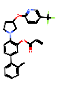 C=CC(=O)Oc1cc(-c2ccccc2C)ccc1N1CCC(Oc2ccc(C(F)(F)F)cn2)C1